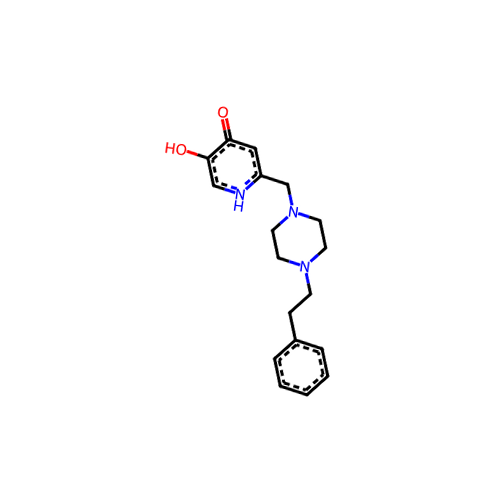 O=c1cc(CN2CCN(CCc3ccccc3)CC2)[nH]cc1O